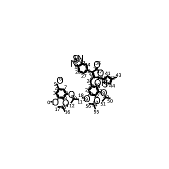 COc1cc(C=O)cc(OC(C)C)c1OC(C)C.COc1cc(CC2=C(c3ccc4nsnc4c3)C(=O)OC2(O)c2cc(C)cs2)cc(OC(C)C)c1OC(C)C